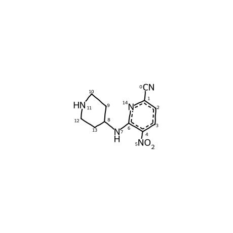 N#Cc1ccc([N+](=O)[O-])c(NC2CCNCC2)n1